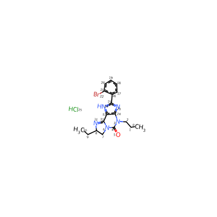 CCCN1C(=O)N2CC(CC)N=C2c2[nH]c(-c3ccccc3Br)nc21.Cl